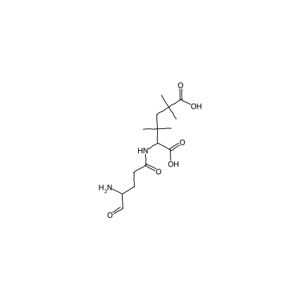 CC(C)(CC(C)(C)C(NC(=O)CCC(N)C=O)C(=O)O)C(=O)O